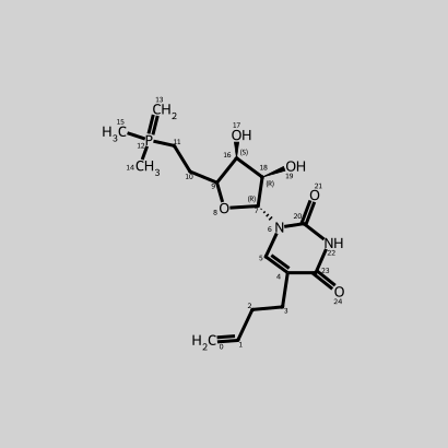 C=CCCc1cn([C@@H]2OC(CCP(=C)(C)C)[C@@H](O)[C@H]2O)c(=O)[nH]c1=O